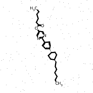 CCCCCCC[C@H]1CC[C@H](c2ccc(-c3ncc(OC(=O)CCCCC)cn3)cc2)CC1